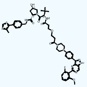 COc1cccc(F)c1-c1ncc2[nH]nc(-c3ccc(N4CCN(C(=O)CCOCCC(=O)N[C@H](C(=O)N5C[C@H](O)C[C@H]5C(=O)NCc5ccc(-c6scnc6C)cc5)C(C)(C)C)CC4)cc3)c2n1